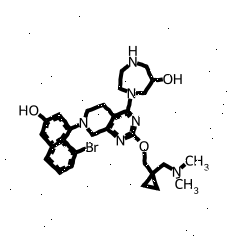 CN(C)CC1(COc2nc3c(c(N4CCNCC(O)C4)n2)CCN(c2cc(O)cc4cccc(Br)c24)C3)CC1